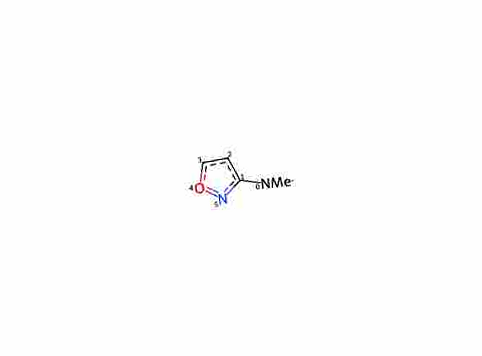 C[N]c1ccon1